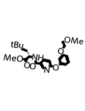 COCCOc1cccc(Oc2ccc(C(=O)N[C@@H](CCC(C)(C)C)C(=O)OC)cn2)c1